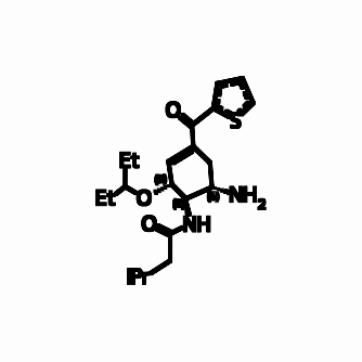 CCC(CC)O[C@@H]1C=C(C(=O)c2cccs2)C[C@H](N)[C@H]1NC(=O)CC(C)C